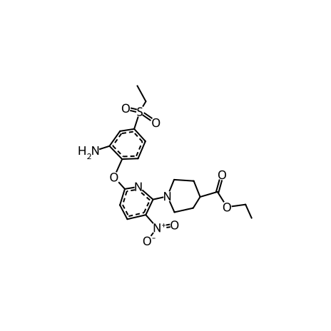 CCOC(=O)C1CCN(c2nc(Oc3ccc(S(=O)(=O)CC)cc3N)ccc2[N+](=O)[O-])CC1